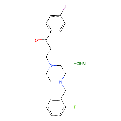 Cl.Cl.O=C(CCN1CCN(Cc2ccccc2F)CC1)c1ccc(I)cc1